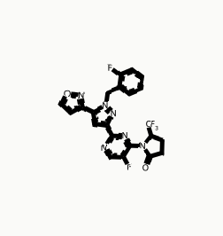 O=C1CCC(C(F)(F)F)N1c1nc(-c2cc(-c3ccon3)n(Cc3ccccc3F)n2)ncc1F